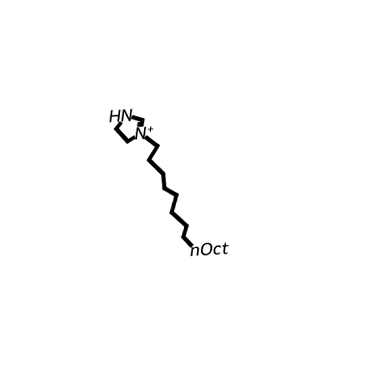 CCCCCCCCCCCCCCCC[N+]1=CNCC1